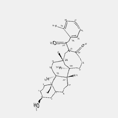 C[C@]12CC[C@H](O)CC1CC[C@@H]1[C@@H]2CC[C@@]2(C)[C@H]1CCC(=O)N2C(=O)c1ccccc1F